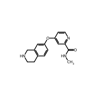 CNC(=O)c1cc(Oc2ccc3c(c2)CNCC3)ccn1